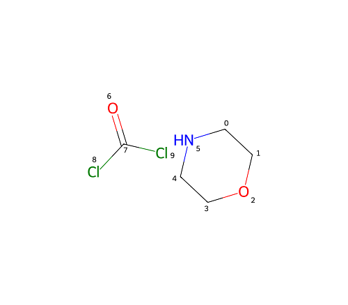 C1COCCN1.O=C(Cl)Cl